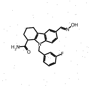 NC(=O)C1C[CH]Cc2c1n(Cc1cccc(F)c1)c1ccc(C=NO)cc21